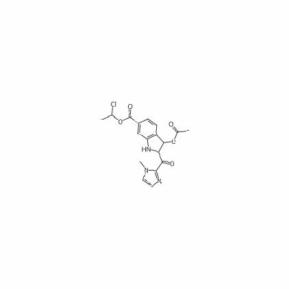 CC(=O)OC1c2ccc(C(=O)OC(C)Cl)cc2NC1C(=O)c1nccn1C